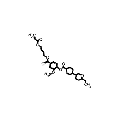 C=CC(=O)OCCCCOC(=O)c1ccc(OC(=O)C2CCC(C3CCC(CC)OC3)CC2)c(OC)c1